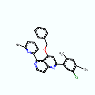 Cc1cc(C(C)(C)C)c(Cl)cc1-c1cc(OCc2ccccc2)c2c(-c3cccc(C#N)n3)nccc2n1